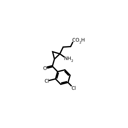 NC1(CCC(=O)O)CC1C(=O)c1ccc(Cl)cc1Cl